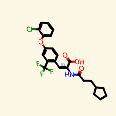 O=C(CCC1CCCC1)N/C(=C/c1ccc(Oc2ccccc2Cl)cc1C(F)(F)F)C(=O)O